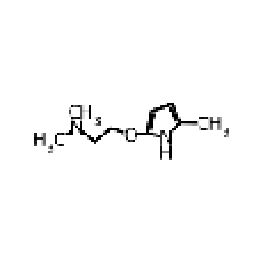 Cc1ccc(OCCN(C)C)[nH]1